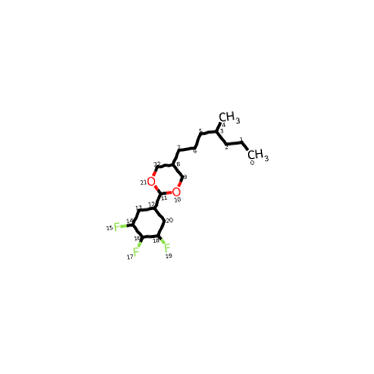 CCCC(C)CCCC1COC(C2CC(F)C(F)C(F)C2)OC1